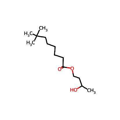 CC(O)CCOC(=O)CCCCCC(C)(C)C